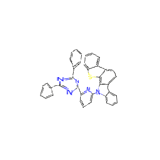 c1ccc(-c2nc(-c3ccccc3)nc(-c3cccc(-n4c5ccccc5c5ccc6c7ccccc7sc6c54)n3)n2)cc1